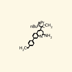 C=C=C(C1=Cc2ccc(-c3ccc(C=C)cc3)cc2N=C(N)C1)N(CCC)CCCC